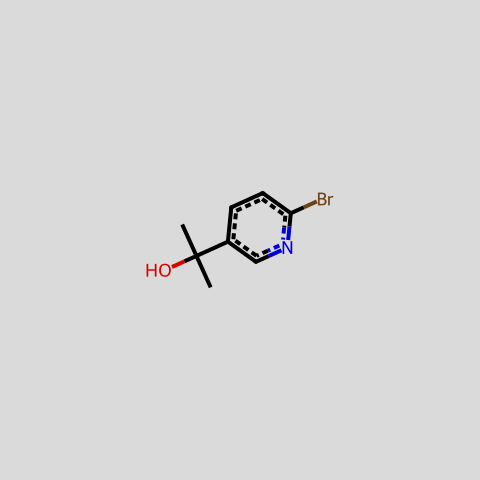 CC(C)(O)c1ccc(Br)nc1